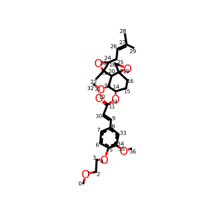 COCCOc1ccc(/C=C/C(=O)O[C@@H]2CCC3(CO3)C(C3(C)OC3CC=C(C)C)[C@@H]2OC)cc1OC